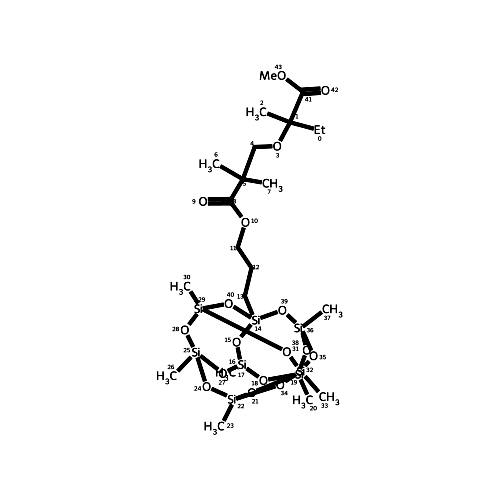 CCC(C)(OCC(C)(C)C(=O)OCCC[Si]12O[Si]3(C)O[Si]4(C)O[Si]5(C)O[Si](C)(O3)O[Si](C)(O[Si](C)(O5)O[Si](C)(O4)O1)O2)C(=O)OC